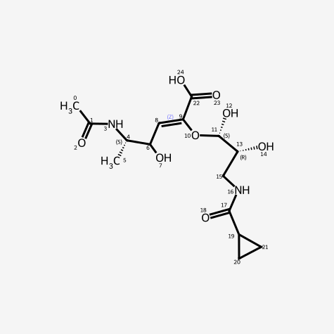 CC(=O)N[C@@H](C)C(O)/C=C(\O[C@H](O)[C@H](O)CNC(=O)C1CC1)C(=O)O